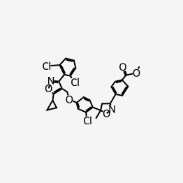 COC(=O)c1ccc(C2=NOC(C)(c3ccc(OCc4c(-c5c(Cl)cccc5Cl)noc4C4CC4)cc3Cl)C2)cc1